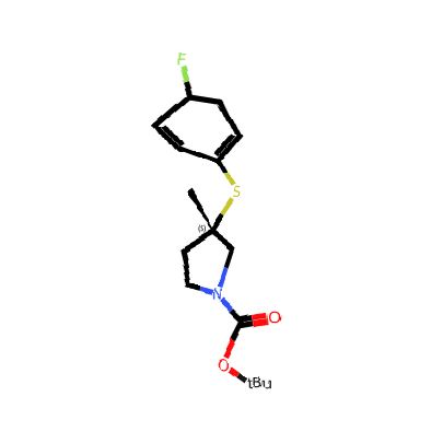 CC(C)(C)OC(=O)N1CC[C@](C)(SC2=CCC(F)C=C2)C1